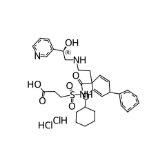 Cl.Cl.O=C(O)CCS(=O)(=O)NC(=O)C1(CCNC[C@H](O)c2cccnc2)C=CC(c2ccccc2)C=C1OC1CCCCC1